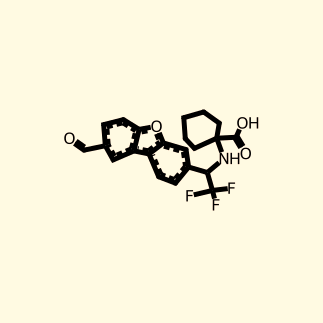 O=Cc1ccc2oc3cc(C(NC4(C(=O)O)CCCCC4)C(F)(F)F)ccc3c2c1